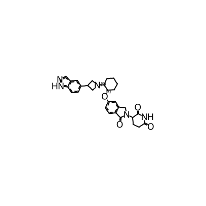 O=C1CCC(N2Cc3cc(O[C@H]4CCCC[C@@H]4N4CC(c5ccc6[nH]ncc6c5)C4)ccc3C2=O)C(=O)N1